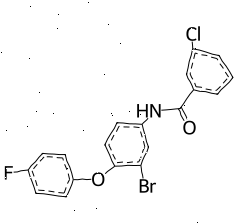 O=C(Nc1ccc(Oc2ccc(F)cc2)c(Br)c1)c1cccc(Cl)c1